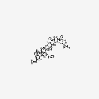 Cl.N[C@@H]1CC[C@H](C(=O)N2CCN(C(=O)c3ccc(Nc4nccn5c(-c6cn(CC7CC7)nc6C(F)(F)F)cnc45)cc3F)CC2)C1